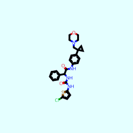 O=C(Nc1ccc(Cl)s1)NC(C(=O)Nc1ccc(C2(CN3CCOCC3)CC2)cc1)c1ccccc1